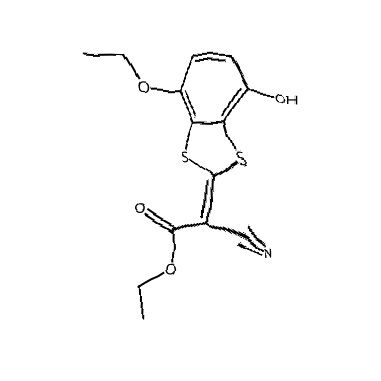 CCOC(=O)/C(C#N)=C1/Sc2c(O)ccc(OCC)c2S1